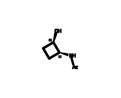 CC(=O)N[C@@H]1CC[C@H]1O